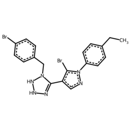 CCc1ccc(-n2ncc(C3=NNNN3Cc3ccc(Br)cc3)c2Br)cc1